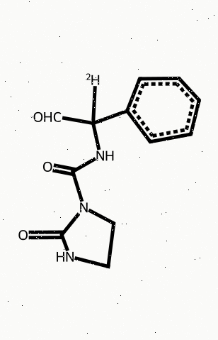 [2H]C([C]=O)(NC(=O)N1CCNC1=O)c1ccccc1